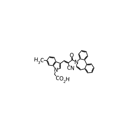 Cc1ccc2c(/C=C(\C#N)C(=O)N3C=Cc4ccccc4-c4ccccc43)cn(CC(=O)O)c2c1